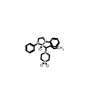 CCCC(N1CCS(=O)(=O)CC1)P1(=O)N(c2ccccc2)CCN1c1ccccc1